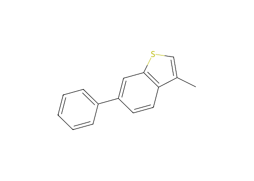 Cc1csc2cc(-c3ccccc3)ccc12